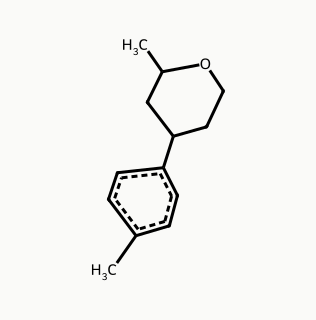 Cc1ccc(C2CCOC(C)C2)cc1